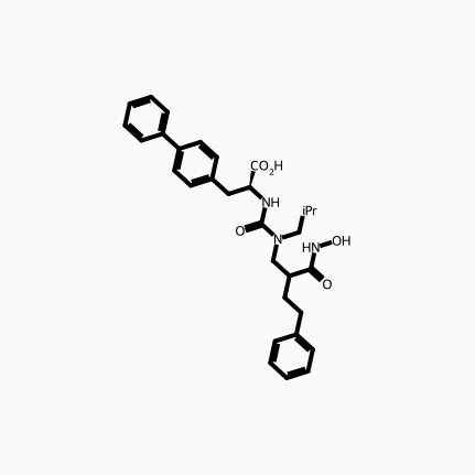 CC(C)CN(CC(CCc1ccccc1)C(=O)NO)C(=O)N[C@@H](Cc1ccc(-c2ccccc2)cc1)C(=O)O